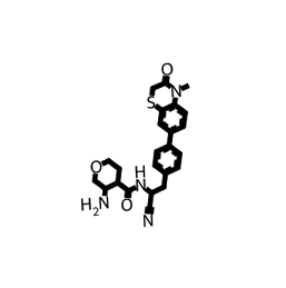 CN1C(=O)CSc2cc(-c3ccc(CC(C#N)NC(=O)C4CCOCC4N)cc3)ccc21